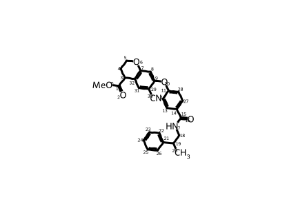 COC(=O)C1CCOc2cc(Oc3ccc(C(=O)NCC(C)c4ccccc4)cc3)c(C#N)cc21